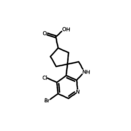 O=C(O)C1CCC2(CNc3ncc(Br)c(Cl)c32)C1